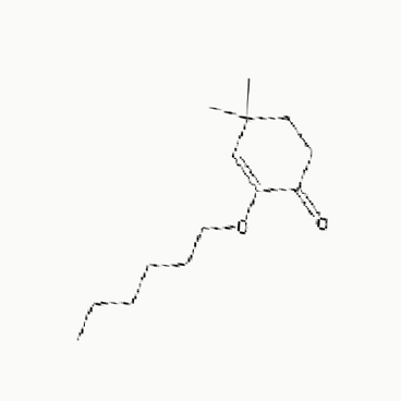 CCCCCCOC1=CC(C)(C)CCC1=O